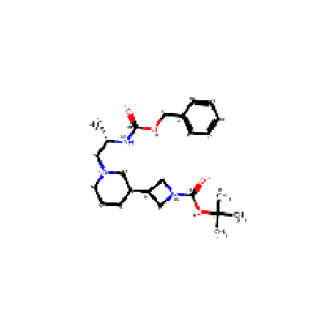 C[C@@H](CN1CCC[C@H](C2CN(C(=O)OC(C)(C)C)C2)C1)NC(=O)OCc1ccccc1